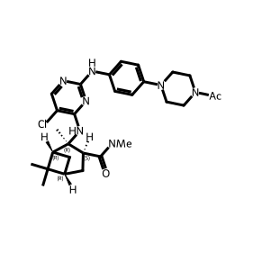 CNC(=O)[C@H]1C[C@H]2C[C@H](C2(C)C)[C@@]1(C)Nc1nc(Nc2ccc(N3CCN(C(C)=O)CC3)cc2)ncc1Cl